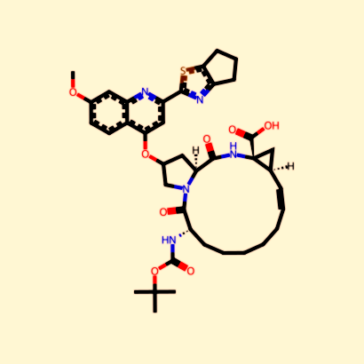 COc1ccc2c(OC3C[C@H]4C(=O)N[C@]5(C(=O)O)C[C@H]5/C=C\CCCCC[C@H](NC(=O)OC(C)(C)C)C(=O)N4C3)cc(-c3nc4c(s3)CCC4)nc2c1